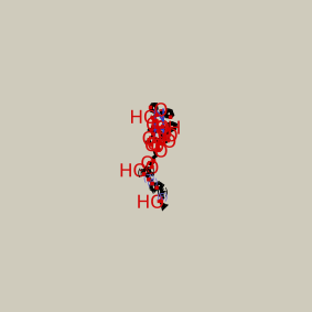 C=C1/C(=C\C=C2/CCC[C@@]3(C)C2CCC3[C@@H](C)/C=C/C(O)C2CC2)C[C@@H](O)C[C@@H]1OC(=O)CCCCC(=O)OC1CC2OCC2(OC(C)=O)C2C(OC(=O)c3ccccc3)C3(O)CC(OC(=O)C(O)C(NC(=O)c4ccccc4)c4ccccc4)C(C)=C(C(OC(C)=O)C(=O)C12C)C3(C)C